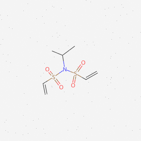 C=CS(=O)(=O)N(C(C)C)S(=O)(=O)C=C